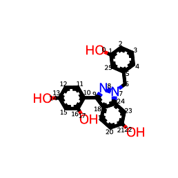 Oc1cccc(Cn2nc(-c3ccc(O)cc3O)c3ccc(O)cc32)c1